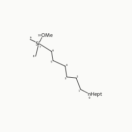 CCCCCCCCCCCCC[Si](C)(C)OC